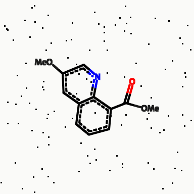 COC(=O)c1cccc2cc(OC)cnc12